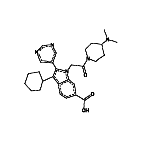 CN(C)C1CCN(C(=O)Cn2c(-c3cncnc3)c(C3CCCCC3)c3ccc(C(=O)O)cc32)CC1